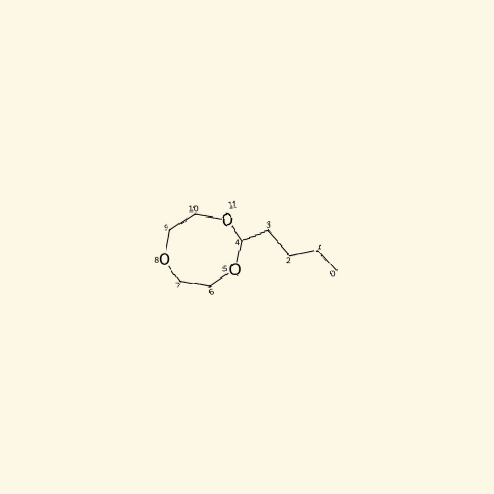 CCCCC1OCCOCCO1